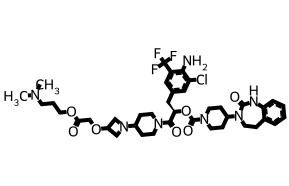 CN(C)CCCOC(=O)COC1CN(C2CCN(C(=O)[C@@H](Cc3cc(Cl)c(N)c(C(F)(F)F)c3)OC(=O)N3CCC(N4CCc5ccccc5NC4=O)CC3)CC2)C1